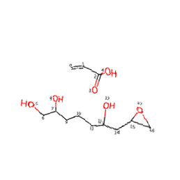 C=CC(=O)O.OCC(O)CCCC(O)CC1CO1